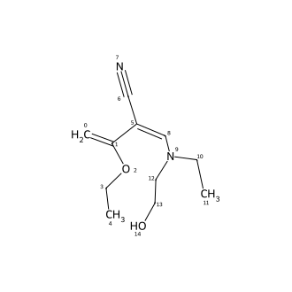 C=C(OCC)/C(C#N)=C\N(CC)CCO